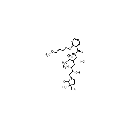 COCCCCOc1ccccc1C(=O)NC[C@@H](C[C@H](N)[C@@H](O)CN1CCC(C)(C)C1=O)C(C)C.Cl